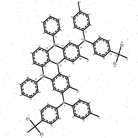 CCC(C)(CC)c1ccc(N(c2ccc(C)cc2)c2cc3c(cc2C)B2c4cc(C)c(N(c5ccc(C)cc5)c5ccc(C(C)(CC)CC)cc5)cc4N(c4ccccc4)c4cccc(c42)N3c2ccccc2)cc1